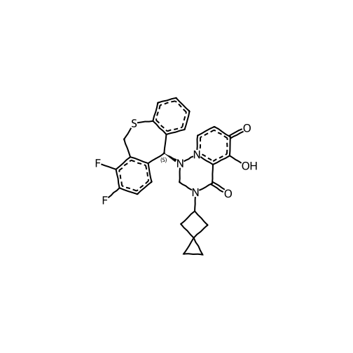 O=C1c2c(O)c(=O)ccn2N([C@@H]2c3ccccc3SCc3c2ccc(F)c3F)CN1C1CC2(CC2)C1